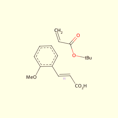 C=CC(=O)OC(C)(C)C.COc1ccccc1/C=C/C(=O)O